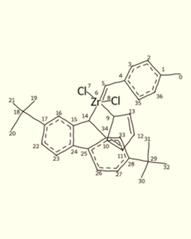 Cc1ccc([CH]=[Zr]([Cl])([Cl])([CH]2C=CC=C2)[CH]2c3cc(C(C)(C)C)ccc3-c3ccc(C(C)(C)C)cc32)cc1